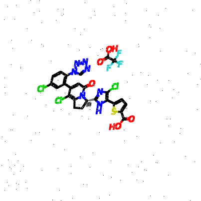 O=C(O)C(F)(F)F.O=C(O)c1ccc(-c2[nH]c([C@@H]3CCc4c(Cl)c(-c5cc(Cl)ccc5-n5cnnn5)cc(=O)n43)nc2Cl)s1